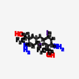 CC(O)(c1cc(Cc2cc(C(C)(O)C(F)(F)F)c(N)cc2I)c(I)cc1N)C(F)(F)F